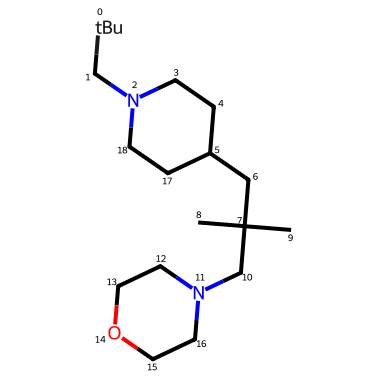 CC(C)(C)CN1CCC(CC(C)(C)CN2CCOCC2)CC1